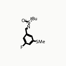 CSc1cc(F)cc(C=N[S@+]([O-])C(C)(C)C)c1